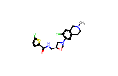 CN1CCc2cc(N3CO[C@@H](CNC(=O)c4ccc(Cl)s4)C3)c(Cl)cc2C1